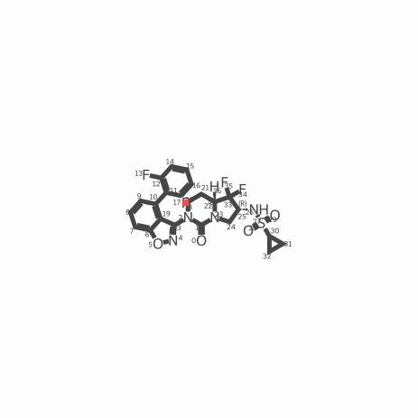 O=C1N(c2noc3cccc(-c4c(F)cccc4F)c23)CC[C@H]2N1C[C@@H](NS(=O)(=O)C1CC1)C2(F)F